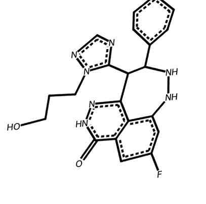 O=c1[nH]nc2c3c(cc(F)cc13)NNC(c1ccccc1)C2c1ncnn1CCCO